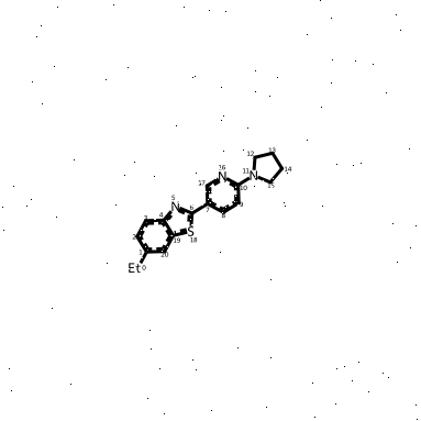 CCc1ccc2nc(-c3ccc(N4CCCC4)nc3)sc2c1